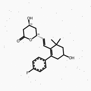 CC1(C)CC(O)CC(c2ccc(F)cc2)=C1C=C[C@H]1C[C@H](O)CC(=O)O1